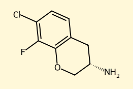 N[C@@H]1COc2c(ccc(Cl)c2F)C1